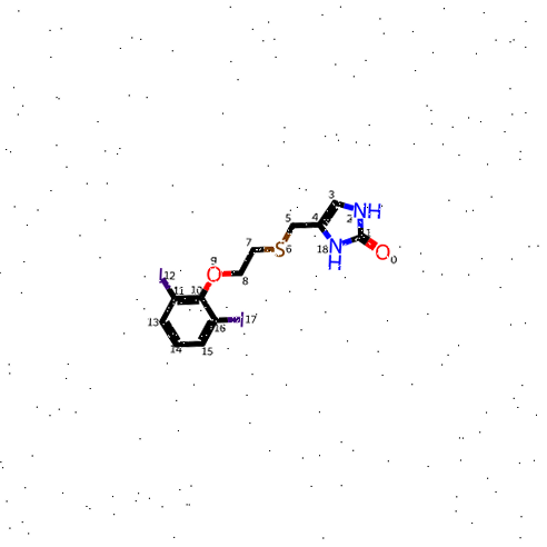 O=c1[nH]cc(CSCCOc2c(I)cccc2I)[nH]1